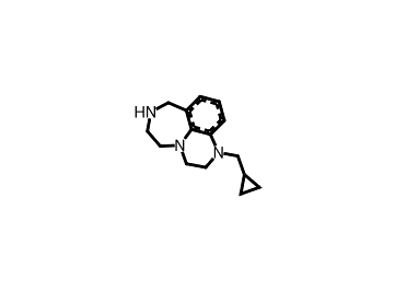 c1cc2c3c(c1)N(CC1CC1)CCN3CCNC2